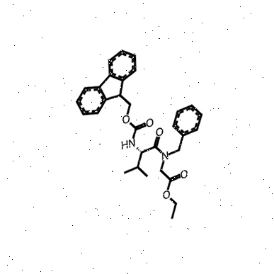 CCOC(=O)CN(Cc1ccccc1)C(=O)[C@@H](NC(=O)OCC1c2ccccc2-c2ccccc21)C(C)C